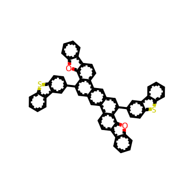 c1ccc2c(c1)oc1c2ccc2c3cc4cc(-c5ccc6sc7ccccc7c6c5)c5c(ccc6c7ccccc7oc65)c4cc3cc(-c3ccc4sc5ccccc5c4c3)c21